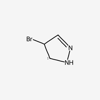 BrC1[C]NN=C1